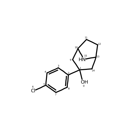 OC1(c2ccc(Cl)cc2)CC2CCC(C1)N2